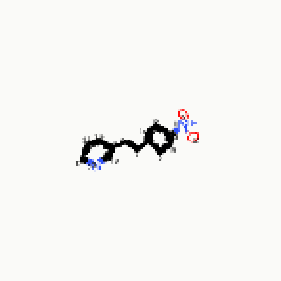 O=[N+]([O-])c1ccc(/C=C/c2cccnc2)cc1